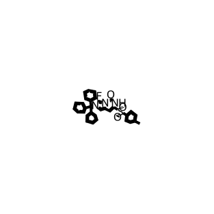 Cc1ccc(S(=O)(=O)C(=Cc2cn(C(c3ccccc3)(c3ccccc3)c3ccccc3)c(F)n2)NC=O)cc1